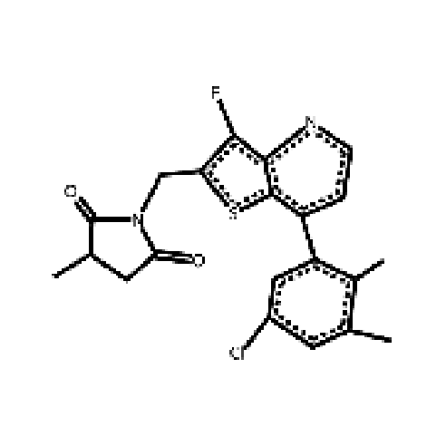 Cc1cc(Cl)cc(-c2ccnc3c(F)c(CN4C(=O)CC(C)C4=O)sc23)c1C